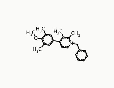 COc1c(C)cc(-c2cc[n+](Cc3ccccc3)c(C)c2C)cc1C